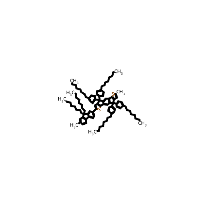 CCCCCCCCc1ccc(C2(c3ccc(CCCCCCCC)cc3)c3cc4c(cc3-c3sc(C)cc32)C(c2ccc(CCCCCCCC)cc2)(c2ccc(CCCCCCCC)cc2)c2cc(-c3ccc5c(c3)C(CCCCCCCC)(CCCCCCCC)c3cc(C)ccc3-5)sc2-4)cc1